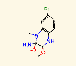 COC1Nc2ccc(Br)cc2N(C)C1(N)OC